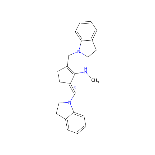 CNC1=C(CN2CCc3ccccc32)CC/C1=C\N1CCc2ccccc21